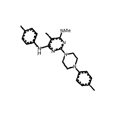 CNc1nc(N2CCN(c3ccc(C)cc3)CC2)nc(Nc2ccc(C)cc2)c1C